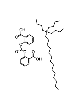 CCCCCCCCCCCCCC[P+](CCCC)(CCCC)CCCC.O=C(O)c1ccccc1OB([O-])Oc1ccccc1C(=O)O